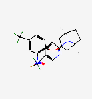 O=[N+]([O-])c1cc(C(F)(F)F)ccc1O[C@H]1C[C@H]2CC[C@@H](C1)N2c1ccc(C(F)(F)F)cn1